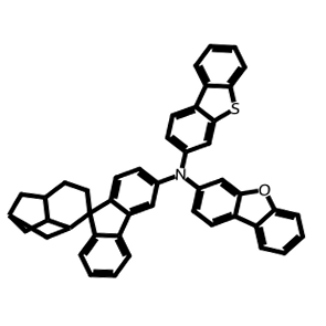 c1ccc2c(c1)-c1cc(N(c3ccc4c(c3)oc3ccccc34)c3ccc4c(c3)sc3ccccc34)ccc1C21CCC2CC3CC2C1C3